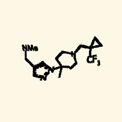 CNCc1cnn(C2(C)CCN(CC3(C(F)(F)F)CC3)CC2)c1